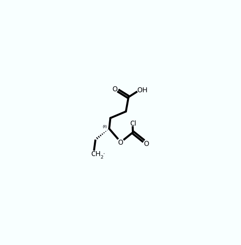 [CH2]C[C@H](CCC(=O)O)OC(=O)Cl